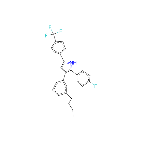 CCCCc1cccc(-c2cc(-c3ccc(C(F)(F)F)cc3)[nH]c2-c2ccc(F)cc2)c1